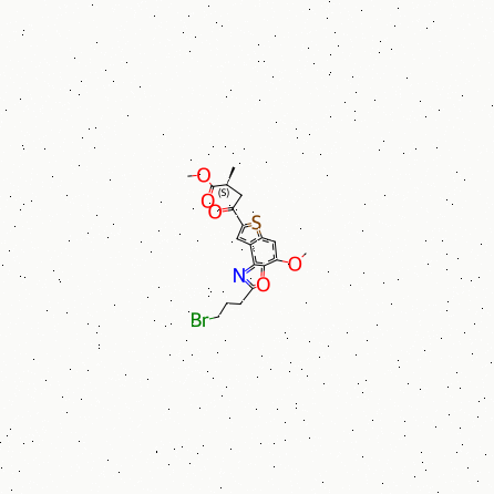 COC(=O)[C@@H](C)CC(=O)c1cc2c(cc(OC)c3oc(CCCBr)nc32)s1